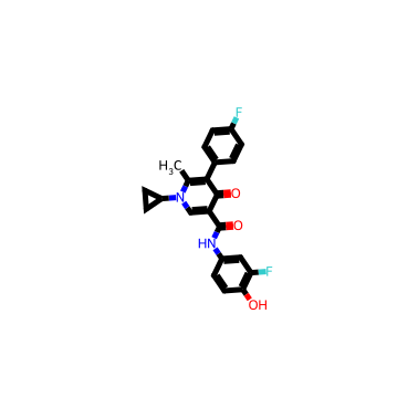 Cc1c(-c2ccc(F)cc2)c(=O)c(C(=O)Nc2ccc(O)c(F)c2)cn1C1CC1